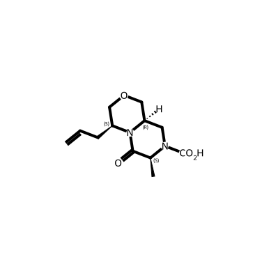 C=CC[C@H]1COC[C@H]2CN(C(=O)O)[C@@H](C)C(=O)N12